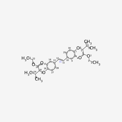 CCOC(=O)C(Oc1ccc(/C=C/c2ccc(OC(C(=O)OCC)C(C)C)cc2)cc1)C(C)C